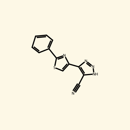 N#Cc1[nH]nnc1-c1csc(-c2ccccc2)n1